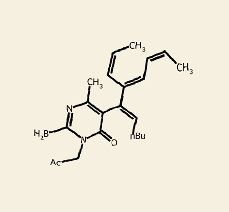 Bc1nc(C)c(C(=C\CCCC)/C(/C=C\C)=C/C=C\C)c(=O)n1CC(C)=O